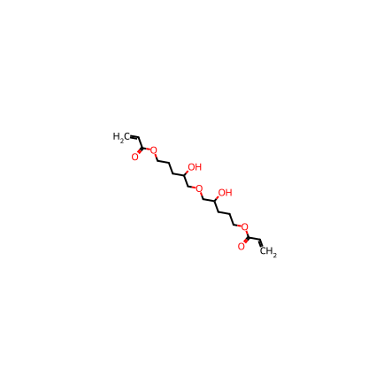 C=CC(=O)OCCCC(O)COCC(O)CCCOC(=O)C=C